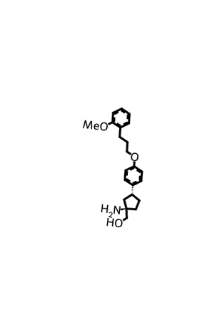 COc1ccccc1CCCOc1ccc([C@@H]2CC[C@](N)(CO)C2)cc1